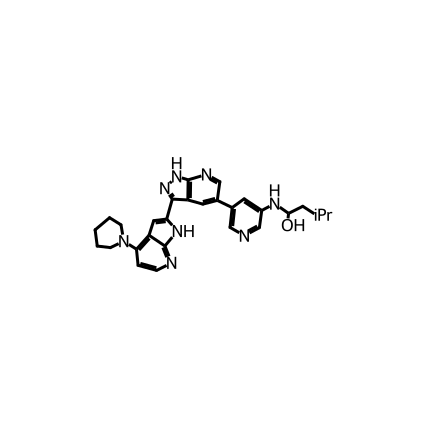 CC(C)CC(O)Nc1cncc(-c2cnc3[nH]nc(-c4cc5c(N6CCCCC6)ccnc5[nH]4)c3c2)c1